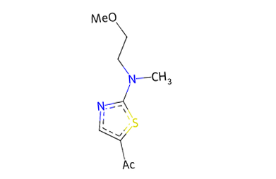 COCCN(C)c1ncc(C(C)=O)s1